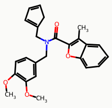 COc1ccc(CN(CC2=CC=CC2)C(=O)c2oc3ccccc3c2C)cc1OC